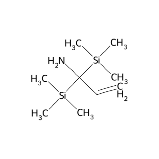 C=CC(N)([Si](C)(C)C)[Si](C)(C)C